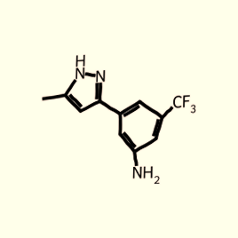 Cc1cc(-c2cc(N)cc(C(F)(F)F)c2)n[nH]1